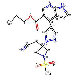 CCCOC(=O)c1cnc2[nH]ccc2c1-c1cnn(C2(CC#N)CN(S(C)(=O)=O)C2)c1